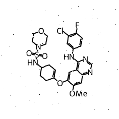 COc1cc2ncnc(Nc3ccc(F)c(Cl)c3)c2cc1OC1=CCC(NS(=O)(=O)N2CCOCC2)CC1